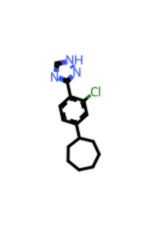 Clc1cc(C2CCCCCC2)ccc1-c1nc[nH]n1